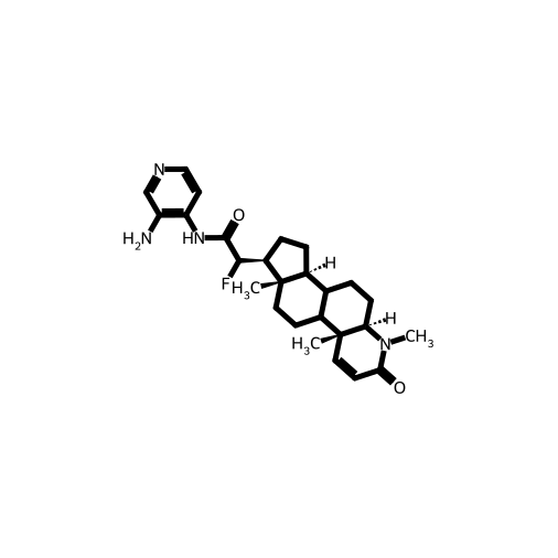 CN1C(=O)C=C[C@]2(C)C3CC[C@]4(C)[C@@H](C(F)C(=O)Nc5ccncc5N)CC[C@H]4C3CC[C@@H]12